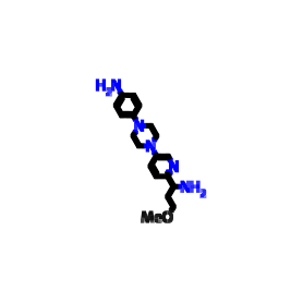 COCCC(N)c1ccc(N2CCN(c3ccc(N)cc3)CC2)cn1